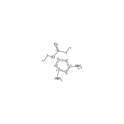 CCOC(=O)CC.Nc1cccc(N)c1